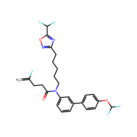 C=C(F)CCC(=O)N(CCCCCc1noc(C(F)F)n1)c1cccc(-c2ccc(OC(F)F)cc2)c1